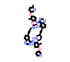 COC(C(=O)NCC#Cc1ccc2ncnc(Nc3ccc(Oc4cccnc4)c(C)c3)c2c1)N(c1ccc(Oc2ccc(C)nc2)c(C)c1)c1ncnc2ccc(C#CC3CCCNC3)cc12